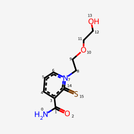 NC(=O)c1cccn(CCOCCO)c1=S